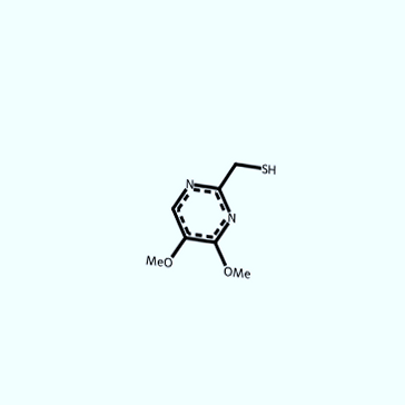 COc1cnc(CS)nc1OC